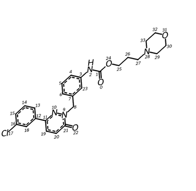 O=C(Nc1cccc(Cn2nc(-c3cccc(Cl)c3)ccc2=O)c1)OCCCN1CCOCC1